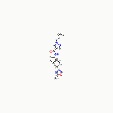 COCCn1cc(C(=O)NC2CCc3cc(-c4noc(C(C)C)n4)ccc32)cn1